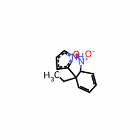 CCC1(c2ccc[nH]2)C=CC=CC1[N+](=O)[O-]